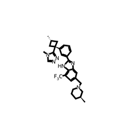 C[C@H]1CCCN(Cc2cc(C(F)(F)F)c3[nH]c(-c4cccc([C@]5(c6nncn6C)C[C@@H](C)C5)c4)nc3c2)C1